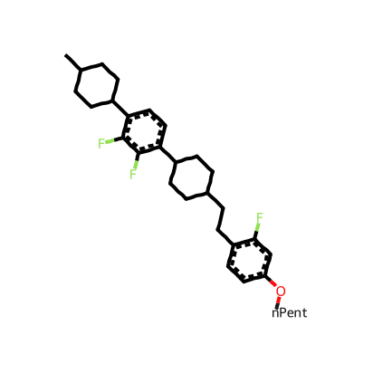 CCCCCOc1ccc(CCC2CCC(c3ccc(C4CCC(C)CC4)c(F)c3F)CC2)c(F)c1